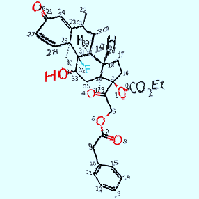 CCOC(=O)O[C@]1(C(=O)COC(=O)Cc2ccccc2)CC[C@H]2[C@@H]3C[C@H](C)C4=CC(=O)C=C[C@]4(C)[C@@]3(F)C(O)C[C@@]21C